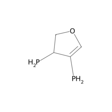 PC1=COCC1P